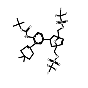 CC1(C)CC=C(c2cc(C3CC4(COS(=O)(=O)C(F)(F)F)C=CC(COS(=O)(=O)C(F)(F)F)(C3)O4)ccc2NC(=O)OC(C)(C)C)CC1